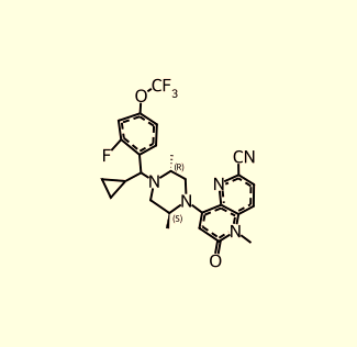 C[C@@H]1CN(c2cc(=O)n(C)c3ccc(C#N)nc23)[C@@H](C)CN1C(c1ccc(OC(F)(F)F)cc1F)C1CC1